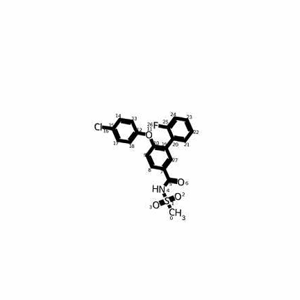 CS(=O)(=O)NC(=O)c1ccc(Oc2ccc(Cl)cc2)c(-c2ccccc2F)c1